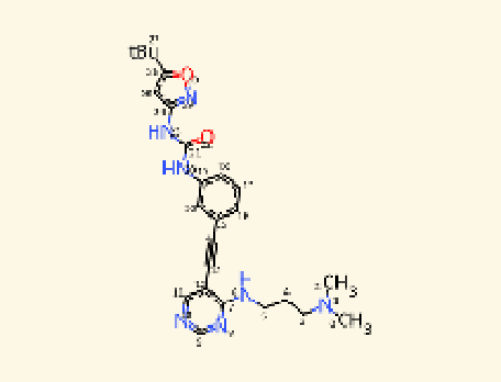 CN(C)CCCNc1ncncc1C#Cc1cccc(NC(=O)Nc2cc(C(C)(C)C)on2)c1